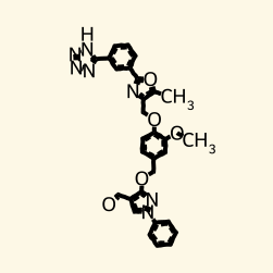 COc1cc(COc2nn(-c3ccccc3)cc2C=O)ccc1OCc1nc(-c2cccc(-c3nnn[nH]3)c2)oc1C